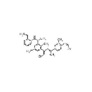 C=Cc1ccccc1NC(C)c1cc(C)cc(C(=C\CC)/C=C(\C)c2ccc(/C=C\C(C)C)c(C)c2)c1C